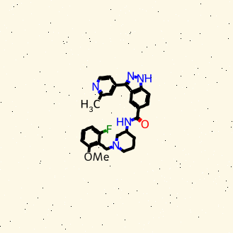 COc1cccc(F)c1CN1CCCC(NC(=O)c2ccc3[nH]nc(-c4ccnc(C)c4)c3c2)C1